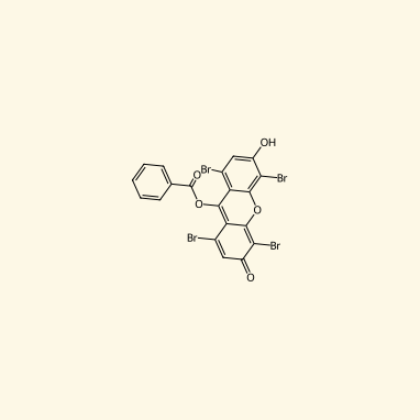 O=C(Oc1c2c(Br)cc(=O)c(Br)c-2oc2c(Br)c(O)cc(Br)c12)c1ccccc1